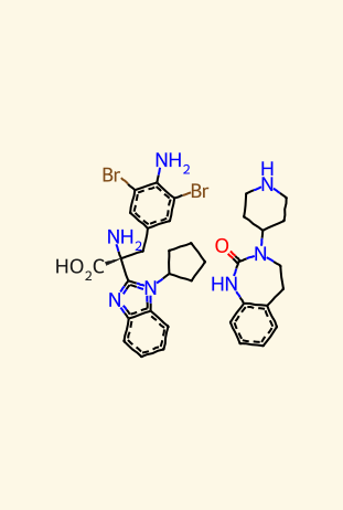 Nc1c(Br)cc(C[C@](N)(C(=O)O)c2nc3ccccc3n2C2CCCC2)cc1Br.O=C1Nc2ccccc2CCN1C1CCNCC1